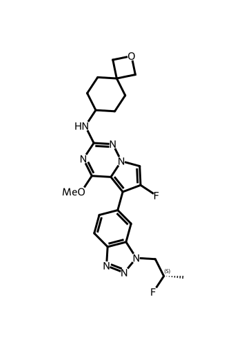 COc1nc(NC2CCC3(CC2)COC3)nn2cc(F)c(-c3ccc4nnn(C[C@H](C)F)c4c3)c12